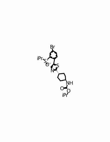 CC(C)OC(=O)N[C@H]1CC[C@H](c2ncc(-c3ccc(Br)cc3[S+]([O-])C(C)C)s2)CC1